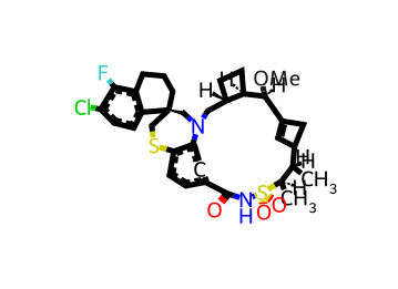 CO[C@H]1C2=C[C@@H](C2)[C@H](C)[C@@H](C)S(=O)(=O)NC(=O)c2ccc3c(c2)N(C[C@@H]2CC[C@H]21)C[C@@]1(CCCc2c1ccc(Cl)c2F)CS3